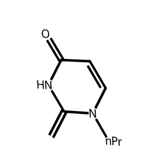 C=C1NC(=O)C=CN1CCC